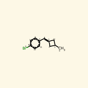 CC1CC(=Cc2ccc(Br)cc2)C1